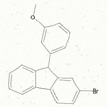 COc1cccc(C2c3ccccc3-c3ccc(Br)cc32)c1